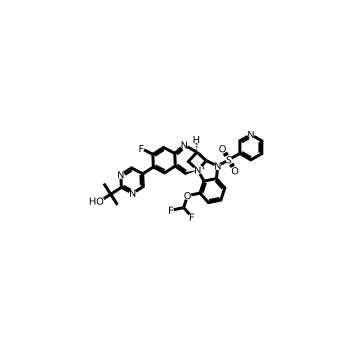 CC(C)(O)c1ncc(-c2cc3c(cc2F)=N[C@@H]2C[N@@+]4(C=3)c3c(OC(F)F)cccc3N(S(=O)(=O)c3cccnc3)C24)cn1